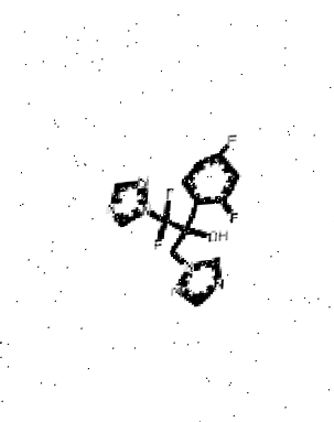 OC(Cn1cncn1)(c1ccc(F)cc1F)C(F)(F)n1cncn1